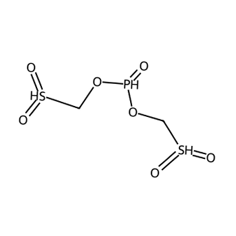 O=[PH](OC[SH](=O)=O)OC[SH](=O)=O